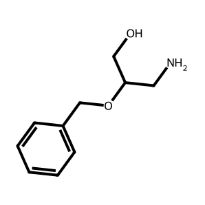 NCC(CO)OCc1ccccc1